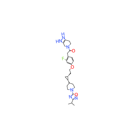 CC(C)c1noc(N2CCC([C@H]3C[C@H]3CCOc3ccc(CC(=O)N4CCc5[nH][nH]c5C4)c(F)c3)CC2)n1